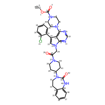 CC(C)(C)OC(=O)N1CCN(c2ncnc3c2c(-c2ccccc2Cl)cn3CC(=O)N2CCC(N3CCc4ccccc4NC3=O)CC2)CC1